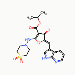 CC(C)OC(=O)C1=C(NN2CCS(=O)(=O)CC2)OC(=Cc2c[nH]c3ncccc23)C1=O